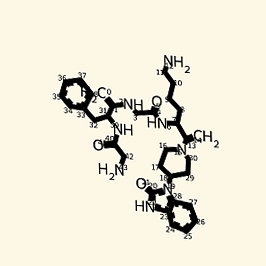 C=C(NCC(=O)NC(CCCCN)C(=C)N1CCC(n2c(=O)[nH]c3ccccc32)CC1)C(Cc1ccccc1)NC(=O)CN